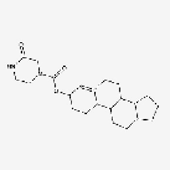 O=C1CN(C(=O)OC2C=C3CCC4C5CCCC5CCC4C3CC2)CCN1